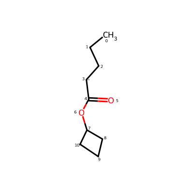 CCC[CH]C(=O)OC1CCC1